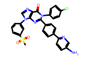 CS(=O)(=O)c1cccc(-n2cnc3c(=O)n(-c4ccc(Cl)cc4)c(-c4ccc(-c5ccc(N)cn5)cc4)nc32)c1